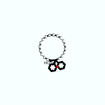 OC1(O)CCCCCCCCCCCCCCCCCCC1(c1ccccc1)c1ccccc1